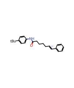 CC(C)(C)c1ccc(NC(=O)CCCC/C=C/c2ccccc2)cc1